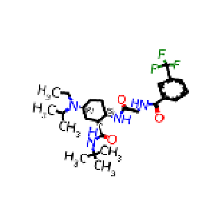 CCN(C(C)C)[C@@H]1CC[C@H](NC(=O)CNC(=O)c2cccc(C(F)(F)F)c2)[C@@H](C(=O)NC(C)(C)C)C1